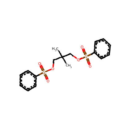 CC(C)(COS(=O)(=O)c1ccccc1)COS(=O)(=O)c1ccccc1